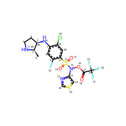 C[C@H]1NCC[C@H]1Nc1cc(F)c(S(=O)(=O)N(OC(=O)C(F)(F)F)c2cscn2)cc1Cl